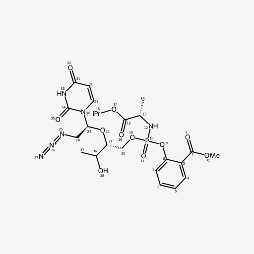 COC(=O)c1ccccc1OP(=O)(N[C@@H](C)C(=O)OC(C)C)OC[C@@H](O[C@@H](CN=[N+]=[N-])n1ccc(=O)[nH]c1=O)C(C)O